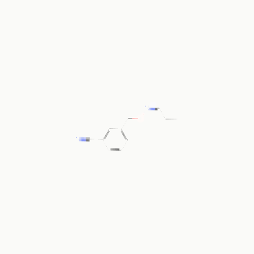 CC/[C]=N\OCc1cccc(C#N)c1